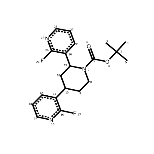 CC(C)(C)OC(=O)N1CCC(c2cccnc2F)CC1c1cccnc1F